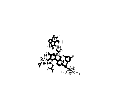 CC(C)(C#Cc1ccc(-c2ccc(Cl)c3c(NS(=O)(=O)C4CC4)nn(CC(F)F)c23)c([C@H](Cc2cc(F)cc(F)c2)NC(=O)CNC2=C(C(=N)C(F)F)[C@H]3CC[C@H]3C2(F)F)n1)S(C)(=O)=O